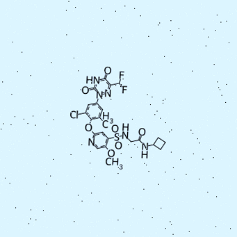 COc1cnc(Oc2c(C)cc(-n3nc(C(F)F)c(=O)[nH]c3=O)cc2Cl)cc1S(=O)(=O)NCC(=O)NC1CCC1